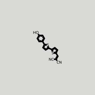 N#CC(C#N)=Cc1ccc(-c2ccc(-c3ccc(O)cc3)s2)s1